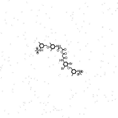 Cc1cc(COc2c(C)cc(NC(=O)CC(=O)OC(=O)CC(=O)Nc3cc(Br)c(OCc4cc(C)cc(NS(C)(=O)=O)c4)c(Br)c3)cc2C)cc(NS(C)(=O)=O)c1